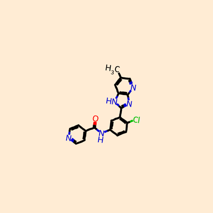 Cc1cnc2nc(-c3cc(NC(=O)c4ccncc4)ccc3Cl)[nH]c2c1